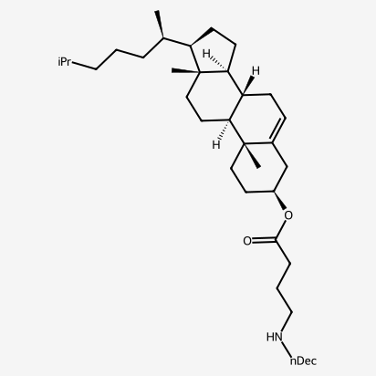 CCCCCCCCCCNCCCC(=O)O[C@H]1CC[C@@]2(C)C(=CC[C@H]3[C@@H]4CC[C@H]([C@H](C)CCCC(C)C)[C@@]4(C)CC[C@@H]32)C1